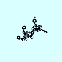 CCCCCCNC(=O)[C@@](O)(CNC(=O)c1ccc(C(=O)N2C[C@@H](C(=O)N[C@H]3C[C@@H]3c3ccccc3)[C@H](C(=O)N[C@H]3C[C@@H]3c3ccccc3)C2)cc1)NC(=O)CCc1ccc(F)cc1